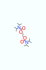 CC(C)N(C(=O)OCCOC(=O)N(C(C)C)C(C)C)C(C)C